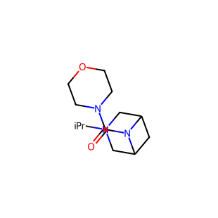 CC(C)N1CC2CC(C1)N2C(=O)N1CCOCC1